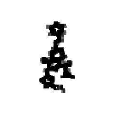 Cc1cc(Cn2cc(C(=O)C3CC3)c3ccc(SCc4ccccc4)cc3c2=O)on1